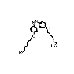 OCCCCCCOc1ccc(/N=N\c2ccc(OCCCCCCO)cc2)cc1